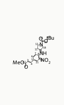 COC(=O)/C=C/c1ccc(NC2CCN(C(=O)OC(C)(C)C)C2)c([N+](=O)[O-])c1